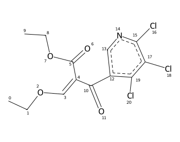 CCO/C=C(\C(=O)OCC)C(=O)c1cnc(Cl)c(Cl)c1Cl